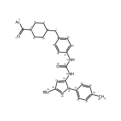 CC(=O)C(=O)N1CCC(Cc2ccc(NC(=O)Nc3cc(C(C)(C)C)nn3-c3ccc(C)cc3)cc2)CC1